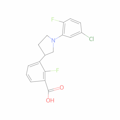 O=C(O)c1cccc(C2CCN(c3cc(Cl)ccc3F)C2)c1F